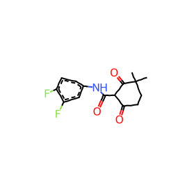 CC1(C)CCC(=O)C(C(=O)Nc2ccc(F)c(F)c2)C1=O